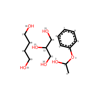 CC(O)Oc1ccccc1.OCC(O)CO.OCCCCO